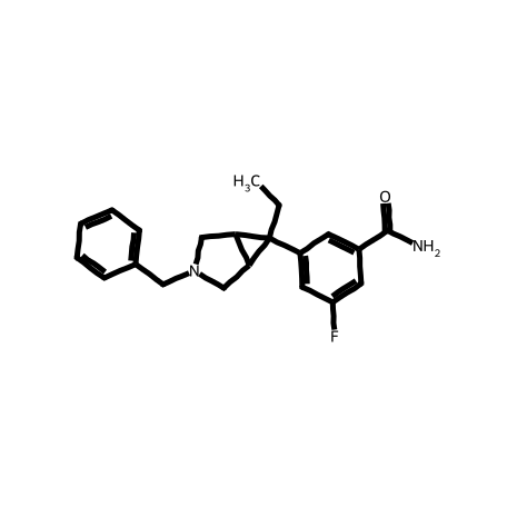 CCC1(c2cc(F)cc(C(N)=O)c2)C2CN(Cc3ccccc3)CC21